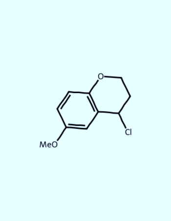 COc1ccc2c(c1)C(Cl)CCO2